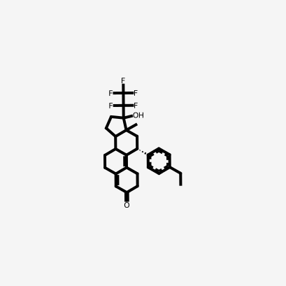 CCc1ccc([C@H]2CC3(C)C(CCC3(O)C(F)(F)C(F)(F)F)C3CCC4=CC(=O)CCC4=C32)cc1